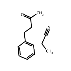 CC(=O)CCc1ccccc1.CCC#N